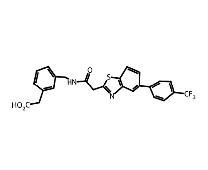 O=C(O)Cc1cccc(CNC(=O)Cc2nc3cc(-c4ccc(C(F)(F)F)cc4)ccc3s2)c1